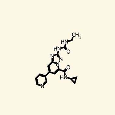 CCNC(=O)Nc1nc2cc(-c3cccnc3)cc(C(=O)NC3CC3)n2n1